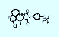 CC(c1c(Cl)cnc2ccccc12)C1NC(=O)N(c2ccc(SC(F)(F)F)cc2)C1=O